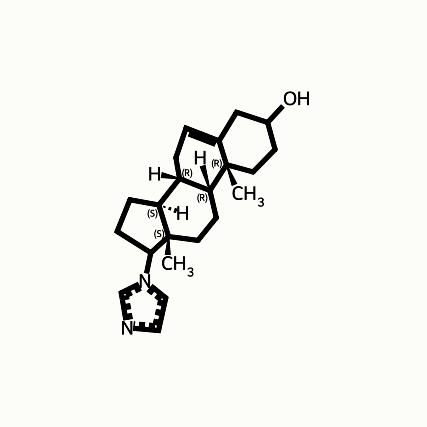 C[C@]12CCC(O)CC1=CC[C@@H]1[C@H]2CC[C@]2(C)C(n3ccnc3)CC[C@@H]12